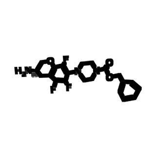 N[C@H]1COc2c(F)c(N3CCN(C(=O)OCc4ccccc4)CC3)c(F)c(F)c2C1